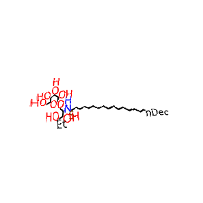 CCCCCCCCCCCCCCCCCCCCCCCCCC(=S)NC(COC1OC(CO)C(O)C(O)C1O)C(O)C(O)CC